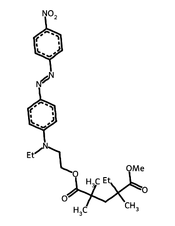 CCN(CCOC(=O)C(C)(C)CC(C)(CC)C(=O)OC)c1ccc(/N=N/c2ccc([N+](=O)[O-])cc2)cc1